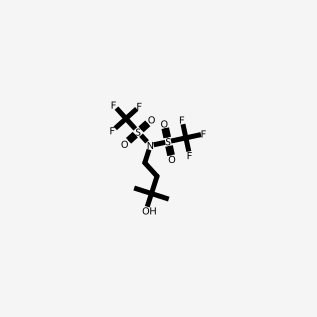 CC(C)(O)CCN(S(=O)(=O)C(F)(F)F)S(=O)(=O)C(F)(F)F